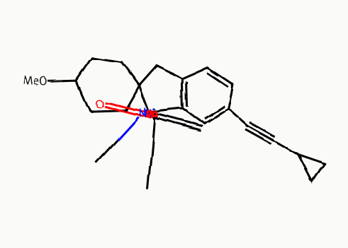 COC1CCC2(CC1)Cc1ccc(C#CC3CC3)cc1C21N=C(C)N(C)C1=O